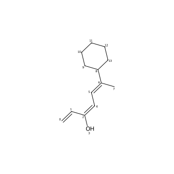 C=C/C(O)=C\C=C(/C)C1CCCCC1